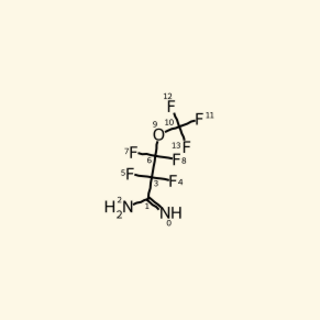 N=C(N)C(F)(F)C(F)(F)OC(F)(F)F